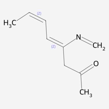 C=N/C(=C\C=C/C)CC(C)=O